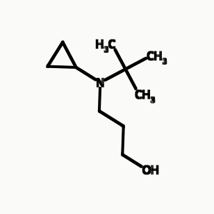 CC(C)(C)N(CCCO)C1CC1